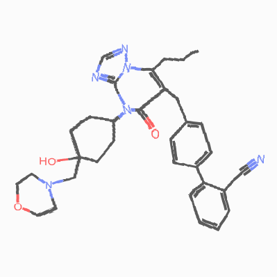 CCCc1c(Cc2ccc(-c3ccccc3C#N)cc2)c(=O)n(C2CCC(O)(CN3CCOCC3)CC2)c2ncnn12